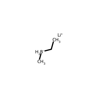 C[BH2-]CC.[Li+]